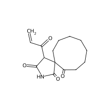 C=CC(=O)C1C(=O)NC(=O)C12CCCCCCCC2=O